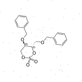 O=S1(=O)OC[C@@H](OCc2ccccc2)[C@H](COCc2ccccc2)O1